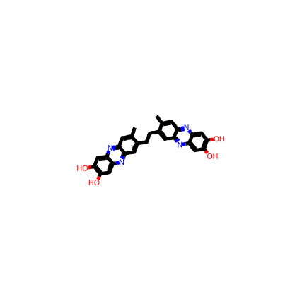 Cc1cc2nc3cc(O)c(O)cc3nc2cc1CCc1cc2nc3cc(O)c(O)cc3nc2cc1C